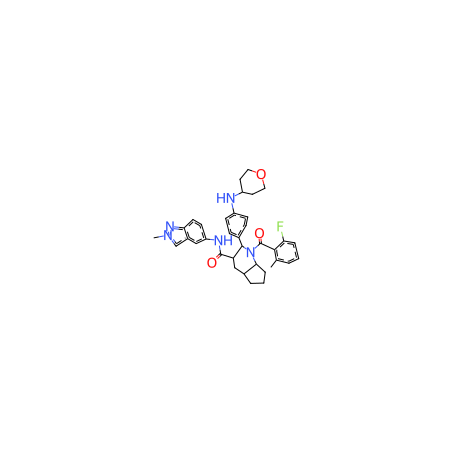 Cc1cccc(F)c1C(=O)N1C2CCCC2CC(C(=O)Nc2ccc3nn(C)cc3c2)C1c1ccc(NC2CCOCC2)cc1